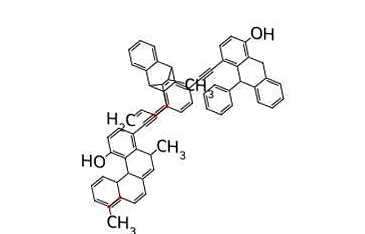 C=C/C=C\C1=C(C)C2c3ccccc3C1c1c(C#Cc3ccc(O)c4c3C(C)C=C(/C=C\C=C/C)C4C3C=CC=CC3)ccc(C#Cc3ccc(O)c4c3C(c3ccccc3)c3ccccc3C4)c12